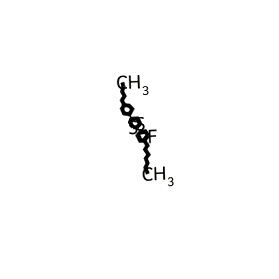 CCCCCCCc1ccc([C@H]2SC[C@H](C3CCC(CCCCC)CC3)CS2)cc1F